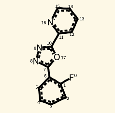 Fc1ccccc1-c1nnc(-c2ccccn2)o1